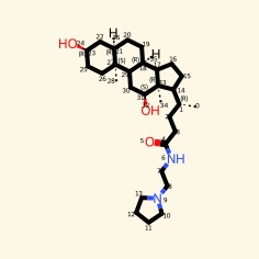 C[C@H](CCC(=O)NCCN1CCCC1)C1CCC2[C@@H]3CC[C@@H]4C[C@H](O)CC[C@]4(C)C3C[C@H](O)[C@@]21C